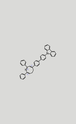 C1=C(c2ccccc2)/N=C(c2ccccc2)\C=C(\c2ccc(-c3ccc(-n4c5ccccc5c5ccccc54)cc3)cc2)CC\1